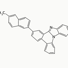 Cc1ccc2cc(-c3ccc4c5ccccc5n5c6ccccc6nc5c4c3)ccc2c1